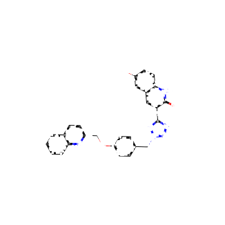 O=c1[nH]c2ccc(O)cc2cc1-c1nnn(Cc2ccc(OCc3ccc4ccccc4n3)cc2)n1